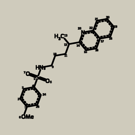 COc1ccc(S(=O)(=O)NCCCC(C)c2ccc3ccccc3n2)cc1